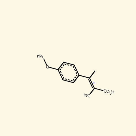 CCCOc1ccc(/C(C)=C(\C#N)C(=O)O)cc1